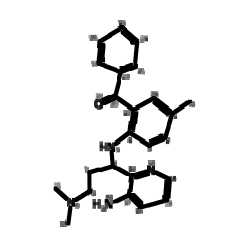 Cc1ccc(NC(CCN(C)C)c2ncccc2N)c(C(=O)c2ccccc2)c1